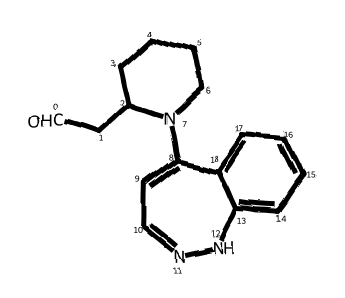 O=CCC1C[CH]CCN1C1=CC=NNc2ccccc21